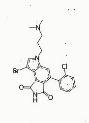 CN(C)CCCn1cc(Br)c2c3c(c(-c4ccccc4Cl)cc21)C(=O)NC3=O